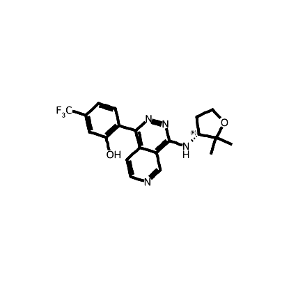 CC1(C)OCC[C@H]1Nc1nnc(-c2ccc(C(F)(F)F)cc2O)c2ccncc12